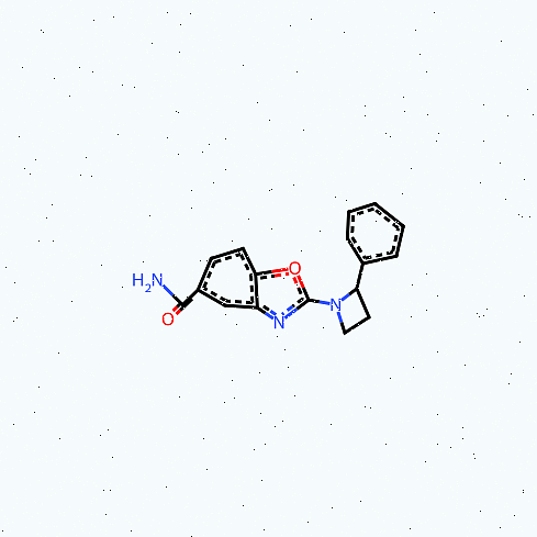 NC(=O)c1ccc2oc(N3CCC3c3ccccc3)nc2c1